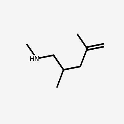 C=C(C)CC(C)CNC